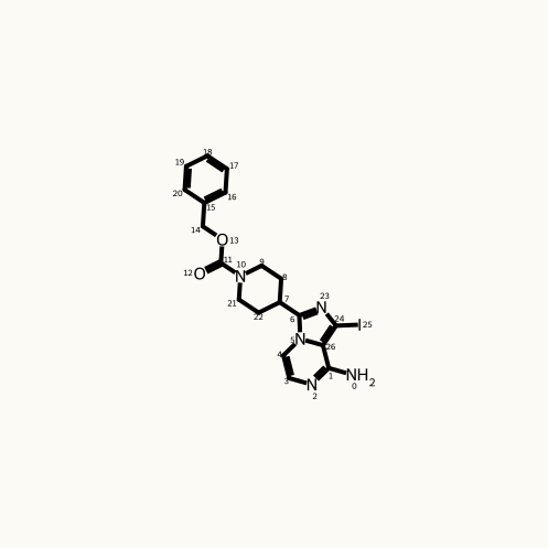 Nc1nccn2c(C3CCN(C(=O)OCc4ccccc4)CC3)nc(I)c12